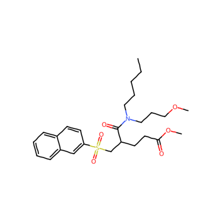 CCCCCN(CCCOC)C(=O)C(CCC(=O)OC)CS(=O)(=O)c1ccc2ccccc2c1